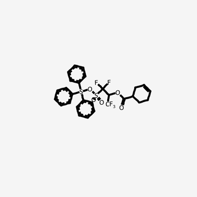 O=C(OC(C(F)(F)F)C(F)(F)S(=O)(=O)OS(c1ccccc1)(c1ccccc1)c1ccccc1)C1CC=CCC1